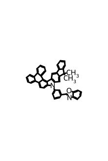 CC1(C)c2ccccc2-c2cc3c4c5c6ccccc6c6ccccc6c5ccc4n(-c4cccc(-c5nc6ccccc6o5)c4)c3cc21